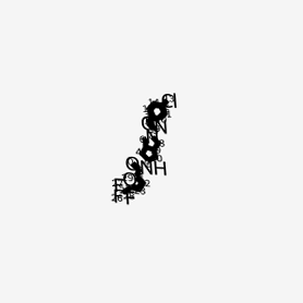 O=C(NC1CC2CN(c3nc4cc(Cl)ccc4o3)CC2C1)c1ccc(C(F)(F)F)o1